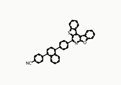 N#Cc1ccc(-c2ccc(-c3ccc(-c4nc5oc6ccccc6c5c5c4sc4ccccc45)cc3)c3ccccc23)cc1